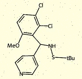 COc1ccc(Cl)c(Cl)c1C(NSC(C)(C)C)c1ccncc1